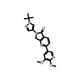 COc1cc(-c2ccc3c(n2)CN(c2cnn(C(C)(C)C)c2)C3=O)cnc1OC